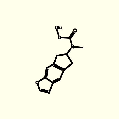 CN(C(=O)OC(C)(C)C)C1Cc2cc3ccoc3cc2C1